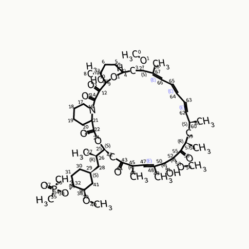 CO[C@H]1C[C@@H]2CC[C@@H](C)[C@@](O)(O2)C(=O)C(=O)N2CCCCC2C(=O)O[C@H]([C@H](C)C[C@@H]2CC[C@@H](OP(C)(C)=O)[C@H](OC)C2)CC(=O)[C@H](C)/C=C(\C)[C@@H](O)[C@@H](OC)C(=O)[C@H](C)C[C@H](C)/C=C/C=C/C=C/1C